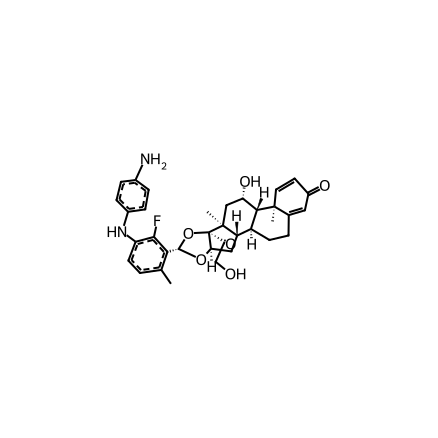 Cc1ccc(Nc2ccc(N)cc2)c(F)c1[C@H]1O[C@@H]2C[C@H]3[C@@H]4CCC5=CC(=O)C=C[C@]5(C)[C@H]4[C@@H](O)C[C@]3(C)[C@]2(C(=O)CO)O1